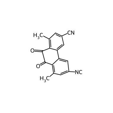 [C-]#[N+]c1cc(C)c2c(c1)-c1cc(C#N)cc(C)c1C(=O)C2=O